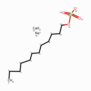 CCCCCCCCCCCCOS(=O)(=O)[O-].[CaH2].[Na+]